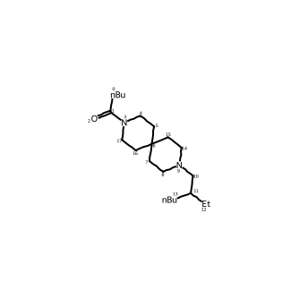 CCCCC(=O)N1CCC2(CCN(CC(CC)CCCC)CC2)CC1